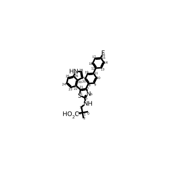 CC(C)(CNc1nc(-c2ccc(-c3ccc(F)cc3)cc2)c(-c2cccc3[nH]ccc23)s1)C(=O)O